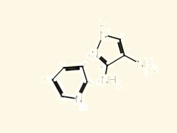 Nc1c[nH]nc1N.c1ccncc1